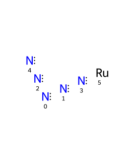 [N].[N].[N].[N].[N].[Ru]